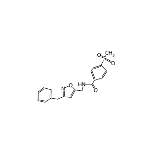 CS(=O)(=O)c1ccc(C(=O)NCc2cc(Cc3ccccc3)no2)cc1